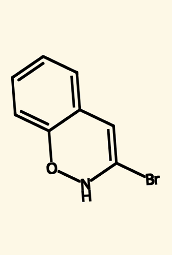 BrC1=Cc2ccccc2ON1